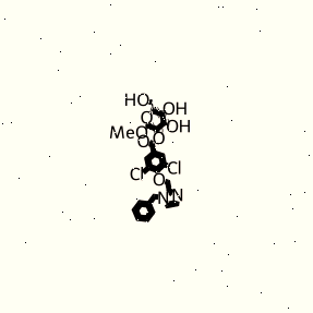 CO[C@H]1O[C@H](CO)[C@@H](O)[C@H](O)[C@H]1OC(=O)c1cc(Cl)c(OCc2nccn2Cc2ccccc2)c(Cl)c1